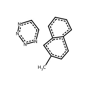 Cc1ccc2ccccc2c1.c1cnnnn1